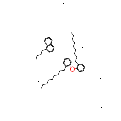 CCCCCCCCCc1ccccc1Oc1ccccc1CCCCCCCCC.CCCCc1cccc2ccccc12